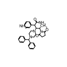 CC(C(C(C(N)=O)c1ccccc1)N1CCN(C(c2ccccc2)c2ccccc2)CC1)N1C(=O)CCC1=O.N